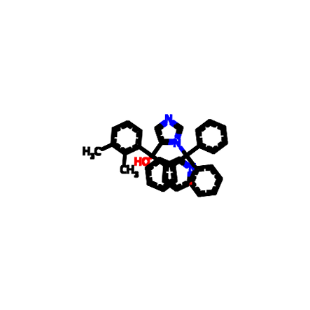 Cc1cccc(C(O)(c2cccnc2)c2cncn2C(c2ccccc2)(c2ccccc2)c2ccccc2)c1C